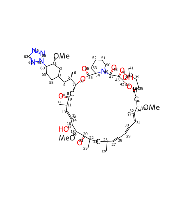 COC1CC(C[C@@H](C)[C@@H]2CC(=O)C(C)/C=C(\C)[C@@H](O)C(OC)C(=O)C(C)CC(C)/C=C/C=C/C=C(\C)[C@@H](OC)C[C@@H]3CCC(C)C(O)(O3)C(=O)C(=O)N3CCCCC3C(=O)O2)CCC1n1ncnn1